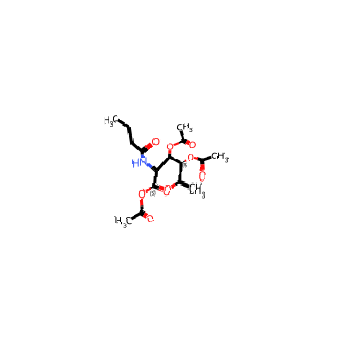 CCCC(=O)NC1C(OC(C)=O)[C@H](OC(C)=O)C(C)O[C@H]1OC(C)=O